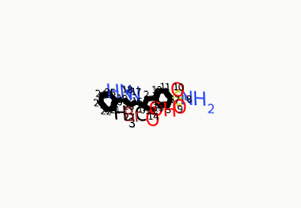 CC(Cc1ccc(S(N)(=O)=O)cc1)(C(=O)O)c1n[nH]c(-c2ccccc2)c1Br